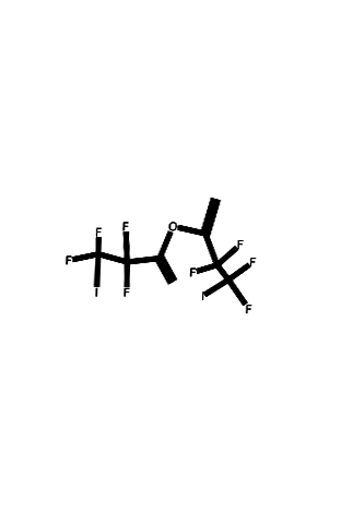 C=C(OC(=C)C(F)(F)C(F)(F)I)C(F)(F)C(F)(F)I